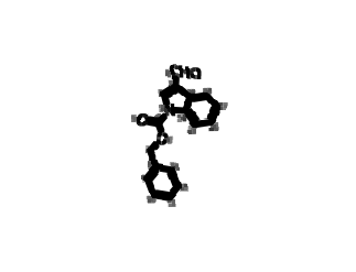 O=Cc1cn(C(=O)OCc2ccccc2)c2ccccc12